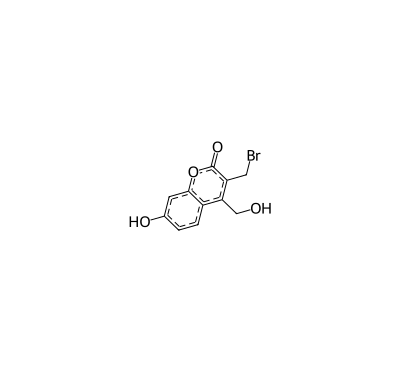 O=c1oc2cc(O)ccc2c(CO)c1CBr